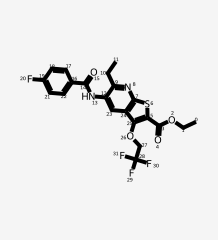 CCOC(=O)c1sc2nc(CC)c(NC(=O)c3ccc(F)cc3)cc2c1OCC(F)(F)F